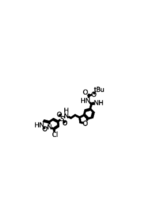 CC(C)(C)OC(=O)NC(=N)c1ccc2c(c1)C(CCNS(=O)(=O)C1=CC3=CNON3C(Cl)=C1)CO2